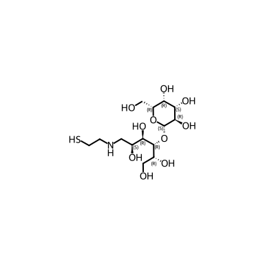 OC[C@@H](O)[C@@H](O[C@@H]1O[C@H](CO)[C@H](O)[C@H](O)[C@H]1O)[C@H](O)[C@@H](O)CNCCS